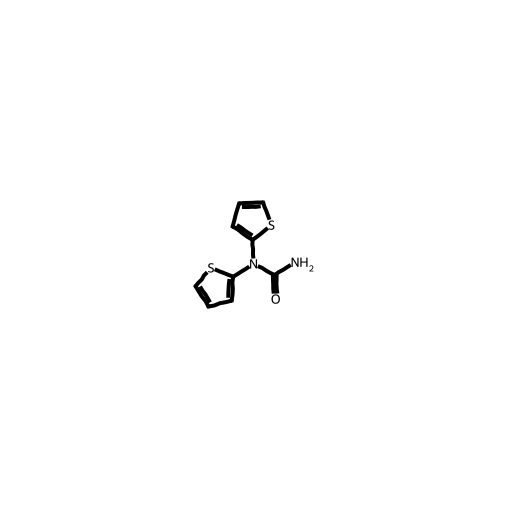 NC(=O)N(c1cccs1)c1cccs1